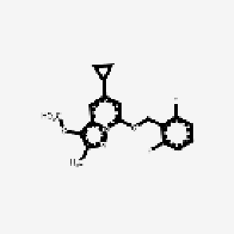 Cc1nn2c(OCc3c(F)cccc3F)cc(C3CC3)cc2c1OC(=O)O